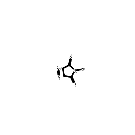 O=C1CCC(=O)N1Cl.[O]=[Sn]